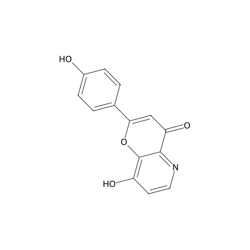 O=c1cc(-c2ccc(O)cc2)oc2c(O)ccnc12